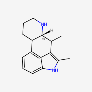 Cc1[nH]c2cccc3c2c1C(C)[C@H]1NCCCC31